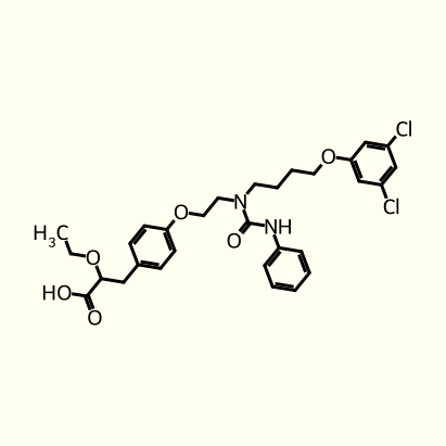 CCOC(Cc1ccc(OCCN(CCCCOc2cc(Cl)cc(Cl)c2)C(=O)Nc2ccccc2)cc1)C(=O)O